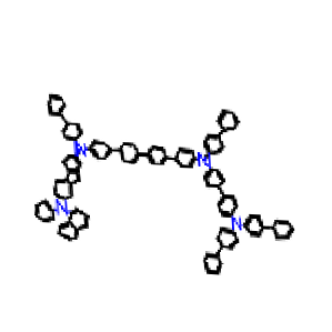 c1ccc(-c2ccc(N(c3ccc(-c4ccccc4)cc3)c3ccc(-c4ccc(N(c5ccc(-c6ccccc6)cc5)c5ccc(-c6ccc(-c7ccc(-c8ccc(N(c9ccc(-c%10ccccc%10)cc9)c9ccc%10c(c9)Cc9cc(N(c%11ccccc%11)c%11cccc%12ccccc%11%12)ccc9-%10)cc8)cc7)cc6)cc5)cc4)cc3)cc2)cc1